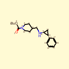 CC(C)COC(=O)N1CCC(CN[C@H]2C[C@@H]2c2ccccc2)CC1